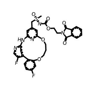 CS(=O)(Cc1cc2nc(c1)OCCCOc1cc(F)ccc1-c1cc(ncc1F)N2)=NC(=O)OCCN1C(=O)c2ccccc2C1=O